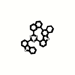 C1=Cc2c(c(-c3ccccc3)cc3c2oc2cccc(-c4nc(-c5ccccc5)nc(-c5cccc6oc7ccccc7c56)n4)c23)CC1